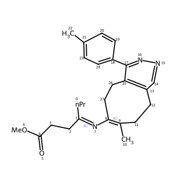 CCC/C(CCC(=O)OC)=N\C1=C(/C)CCc2cnnc(-c3ccc(C)cc3)c2CC1